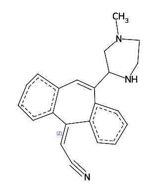 CN1CCNC(C2=Cc3ccccc3/C(=C/C#N)c3ccccc32)C1